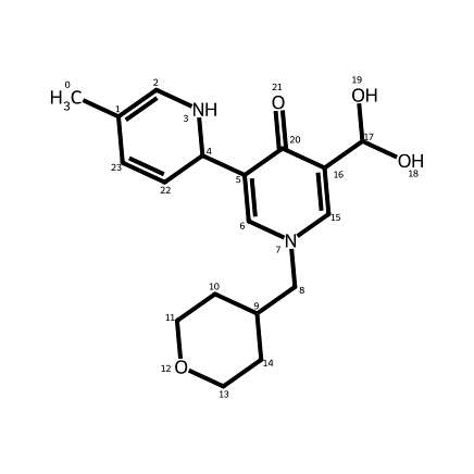 CC1=CNC(c2cn(CC3CCOCC3)cc(C(O)O)c2=O)C=C1